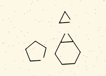 C1CCC2OC2C1.C1CCOC1.C1CO1